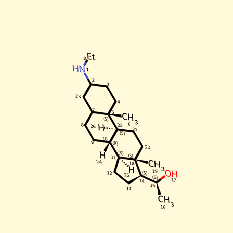 CCNC1CC[C@@]2(C)C(CC[C@H]3[C@@H]4CC[C@H]([C@H](C)O)[C@@]4(C)CC[C@@H]32)C1